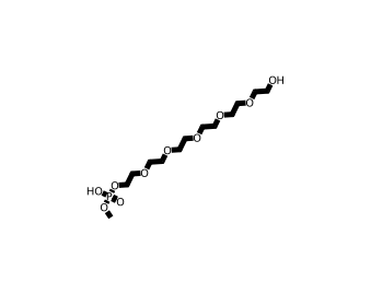 COP(=O)(O)OCCOCCOCCOCCOCCOCCO